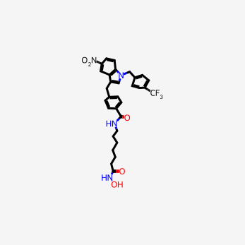 O=C(CCCCCCNC(=O)c1ccc(Cc2cn(Cc3ccc(C(F)(F)F)cc3)c3ccc([N+](=O)[O-])cc23)cc1)NO